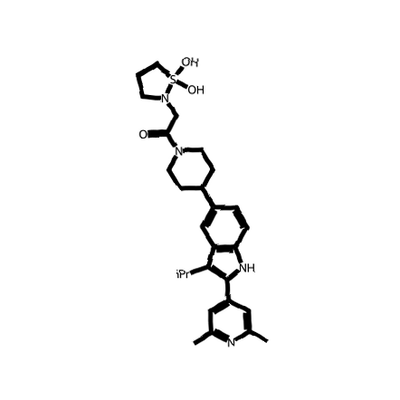 Cc1cc(-c2[nH]c3ccc(C4CCN(C(=O)CN5CCCS5(O)O)CC4)cc3c2C(C)C)cc(C)n1